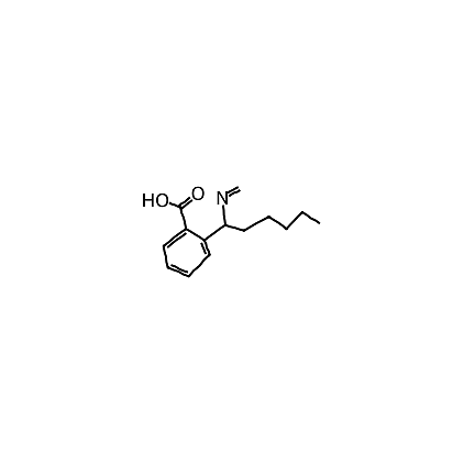 C=NC(CCCCC)c1ccccc1C(=O)O